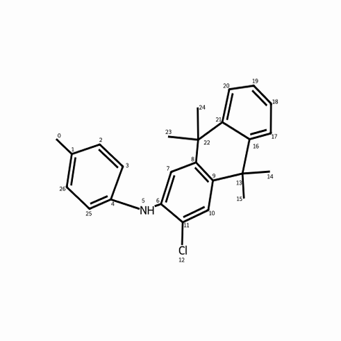 Cc1ccc(Nc2cc3c(cc2Cl)C(C)(C)c2ccccc2C3(C)C)cc1